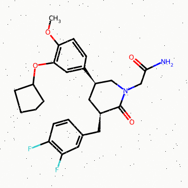 COc1ccc([C@@H]2C[C@H](Cc3ccc(F)c(F)c3)C(=O)N(CC(N)=O)C2)cc1OC1CCCC1